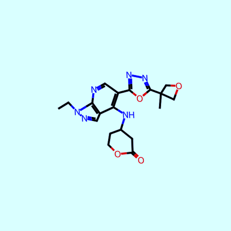 CCn1ncc2c(NC3CCOC(=O)C3)c(-c3nnc(C4(C)COC4)o3)cnc21